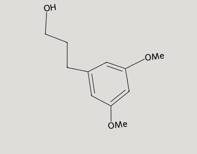 COc1cc(CCCO)cc(OC)c1